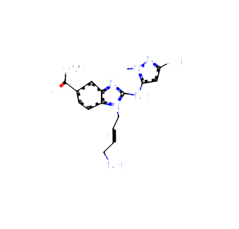 CCn1nc(C)cc1Nc1nc2cc(C(=O)OC)ccc2n1C/C=C/CN